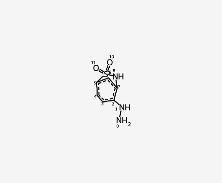 NNc1ccc2cc1NS2(=O)=O